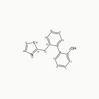 Oc1ccccc1-c1ccccc1Cc1nccs1